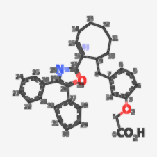 O=C(O)COc1cccc(CC2CCCCC/C=C\2c2nc(-c3ccccc3)c(-c3ccccc3)o2)c1